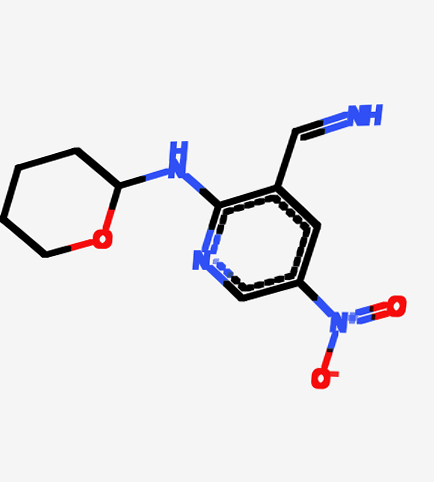 N=Cc1cc([N+](=O)[O-])cnc1NC1CCCCO1